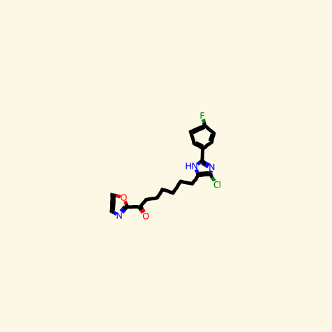 O=C(CCCCCCc1[nH]c(-c2ccc(F)cc2)nc1Cl)c1ncco1